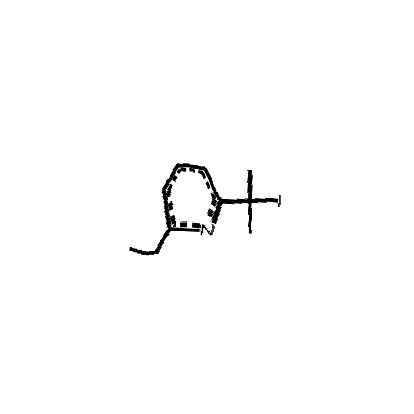 CCc1cccc(C(C)(C)I)n1